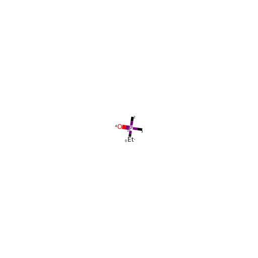 C[CH]P(C)(C)=O